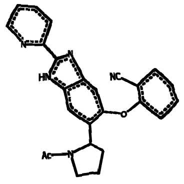 CC(=O)N1CCCC1c1cc2[nH]c(-c3ccccn3)nc2cc1Oc1ccccc1C#N